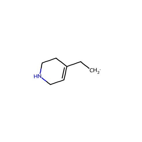 [CH2]CC1=CCNCC1